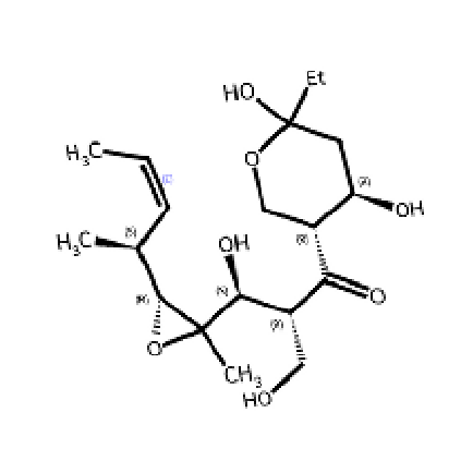 C/C=C\[C@H](C)[C@H]1OC1(C)[C@@H](O)[C@@H](CO)C(=O)[C@@H]1COC(O)(CC)C[C@H]1O